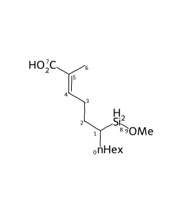 CCCCCCC(CC/C=C(\C)C(=O)O)[SiH2]OC